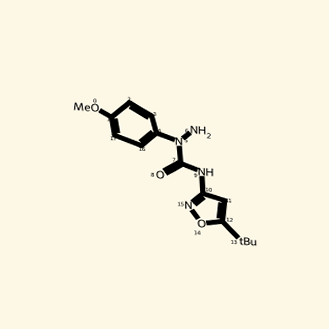 COc1ccc(N(N)C(=O)Nc2cc(C(C)(C)C)on2)cc1